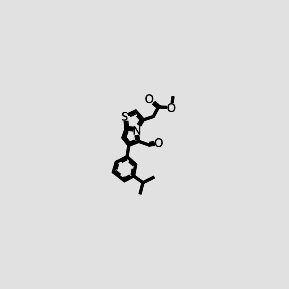 COC(=O)Cc1csc2cc(-c3cccc(C(C)C)c3)c(C=O)n12